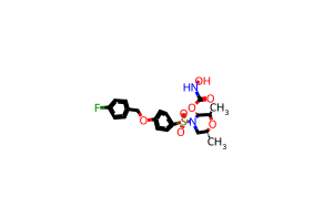 C[C@@H]1CN(S(=O)(=O)c2ccc(OCc3ccc(F)cc3)cc2)[C@H](OC(=O)NO)[C@@H](C)O1